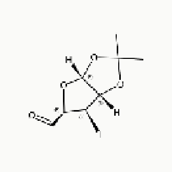 CC1(C)O[C@H]2O[C@H](C=O)[C@H](I)[C@H]2O1